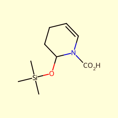 C[Si](C)(C)OC1CCC=CN1C(=O)O